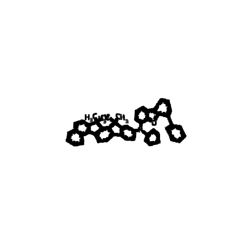 CC1(C)c2cc(N(c3ccccc3)c3cccc4c3oc3c(-c5ccccc5)cccc34)ccc2-c2ccc3c(c21)C(C)(C)c1ccc2ccccc2c1-3